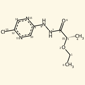 CCO[C@@H](C)C(=O)NNc1cnc(Cl)cn1